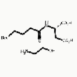 CCCCCCCCCCCCCC(=O)N[C@@H](CC(=O)O)C(=O)O.NCCO